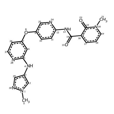 Cn1cc(Nc2cc(Oc3ccc(NC(=O)c4cccn(C)c4=O)nc3)ccn2)cn1